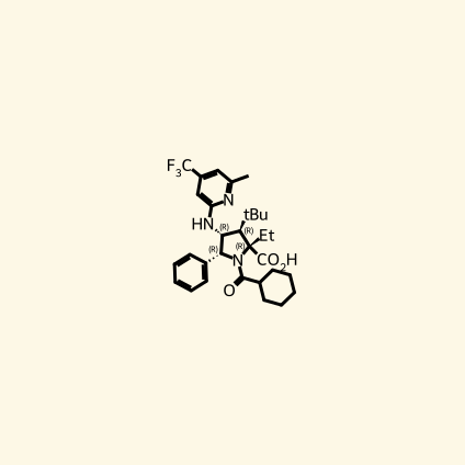 CC[C@]1(C(=O)O)[C@H](C(C)(C)C)[C@@H](Nc2cc(C(F)(F)F)cc(C)n2)[C@@H](c2ccccc2)N1C(=O)C1CCCCC1